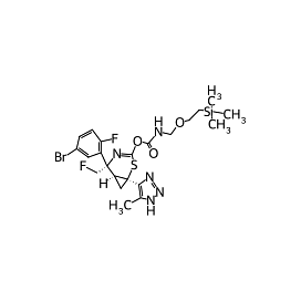 Cc1[nH]nnc1[C@]12C[C@H]1[C@@](CF)(c1cc(Br)ccc1F)N=C(OC(=O)NCOCC[Si](C)(C)C)S2